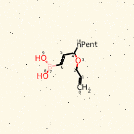 C=CCOC(C=CB(O)O)CCCCC